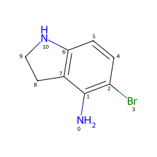 Nc1c(Br)ccc2c1CCN2